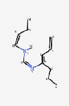 C=C/C=C(CCC)/N=C\N(C)/C=C\CC